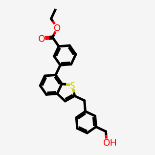 CCOC(=O)c1cccc(-c2cccc3cc(Cc4cccc(CO)c4)sc23)c1